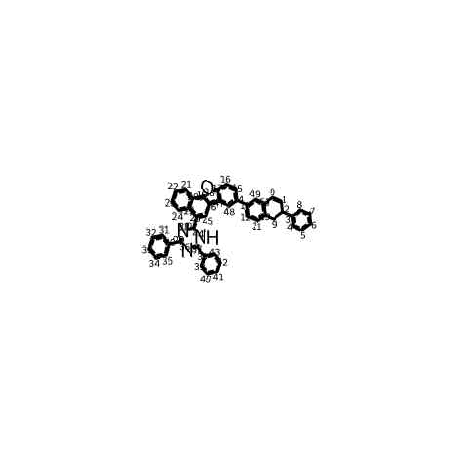 C1=CC(c2ccccc2)Cc2ccc(-c3ccc4oc5c6ccccc6c(C6N=C(c7ccccc7)N=C(c7ccccc7)N6)cc5c4c3)cc21